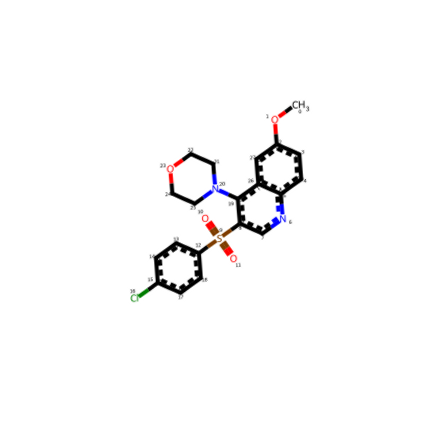 COc1ccc2ncc(S(=O)(=O)c3ccc(Cl)cc3)c(N3CCOCC3)c2c1